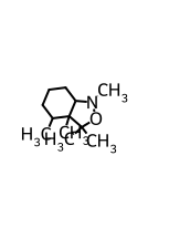 CC1CCCC2N(C)OC(C)(C)C12C